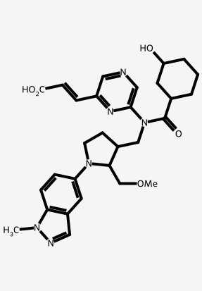 COCC1C(CN(C(=O)C2CCCC(O)C2)c2cncc(C=CC(=O)O)n2)CCN1c1ccc2c(cnn2C)c1